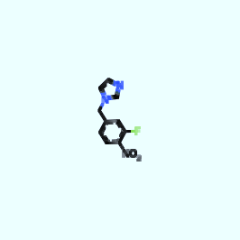 O=[N+]([O-])c1ccc(Cn2ccnc2)cc1F